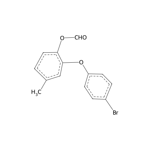 Cc1ccc(OC=O)c(Oc2ccc(Br)cc2)c1